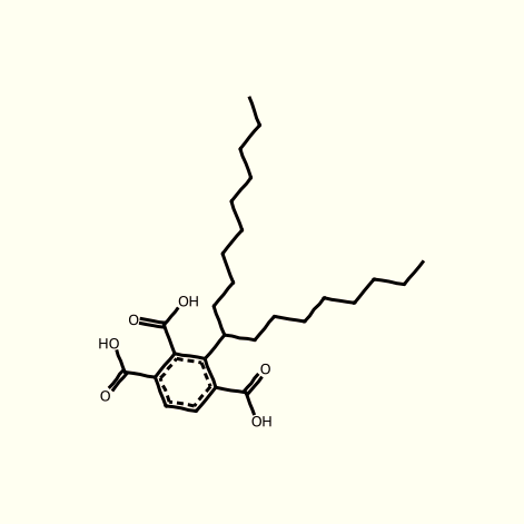 CCCCCCCCCC(CCCCCCCC)c1c(C(=O)O)ccc(C(=O)O)c1C(=O)O